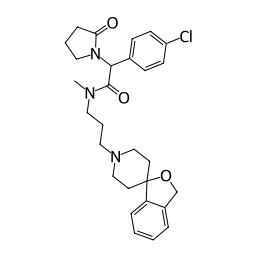 CN(CCCN1CCC2(CC1)OCc1ccccc12)C(=O)C(c1ccc(Cl)cc1)N1CCCC1=O